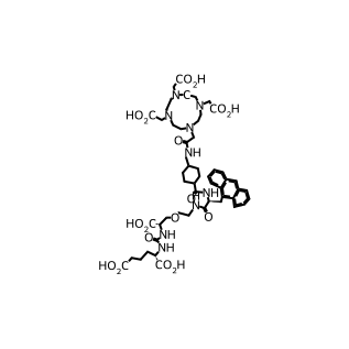 O=C(O)CCC[C@H](NC(=O)N[C@@H](COCCNC(=O)[C@H](Cc1c2ccccc2cc2ccccc12)NC(=O)C1CCC(CNC(=O)CN2CCN(CC(=O)O)CCN(CC(=O)O)CCN(CC(=O)O)CC2)CC1)C(=O)O)C(=O)O